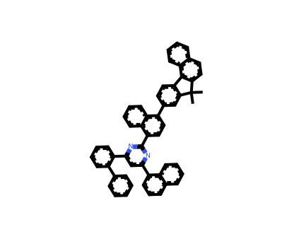 CC1(C)c2cc(-c3ccc(-c4nc(-c5ccccc5-c5ccccc5)cc(-c5cccc6ccccc56)n4)c4ccccc34)ccc2-c2c1ccc1ccccc21